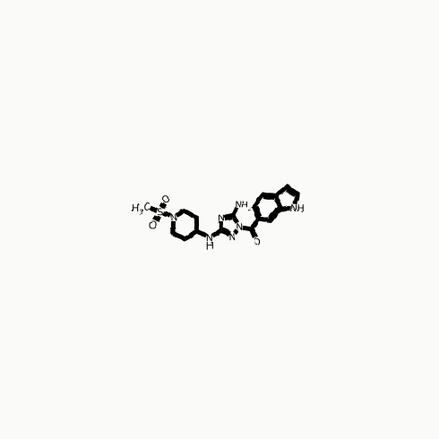 CS(=O)(=O)N1CCC(Nc2nc(N)n(C(=O)c3ccc4cc[nH]c4c3)n2)CC1